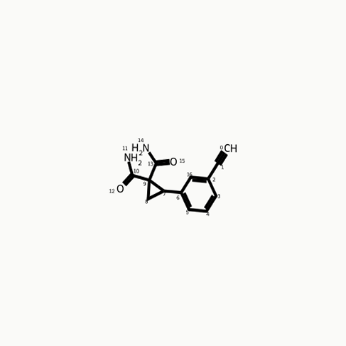 C#Cc1cccc(C2CC2(C(N)=O)C(N)=O)c1